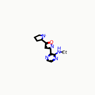 CCNc1nccnc1-c1cc(C2CCC[N]2)on1